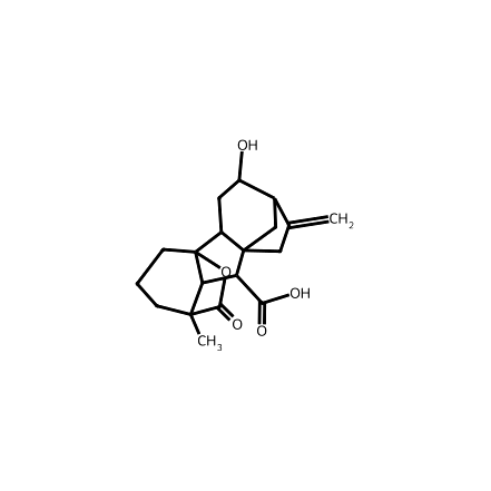 C=C1CC23CC1C(O)CC2C12CCCC(C)(C(=O)O1)C2C3C(=O)O